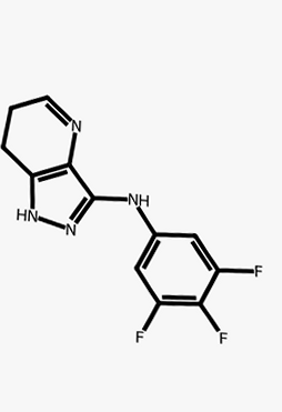 Fc1cc(Nc2n[nH]c3c2N=CCC3)cc(F)c1F